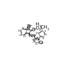 CC(C)c1cccc(N2C(=O)CSC2=NN=C2C(=O)N(Br)c3ccccc32)c1